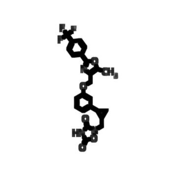 Cc1oc(-c2ccc(C(F)(F)F)cc2)nc1COc1cccc(C2CC2Cn2oc(=O)[nH]c2=O)c1